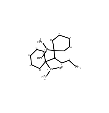 CCCP(CCC)C1(C(CCP)C2(P(CCC)CCC)CCCCC2)CCCCC1